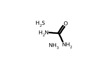 N.NC(N)=O.S